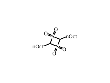 CCCCCCCCC1S(=O)(=O)C(CCCCCCCC)S1(=O)=O